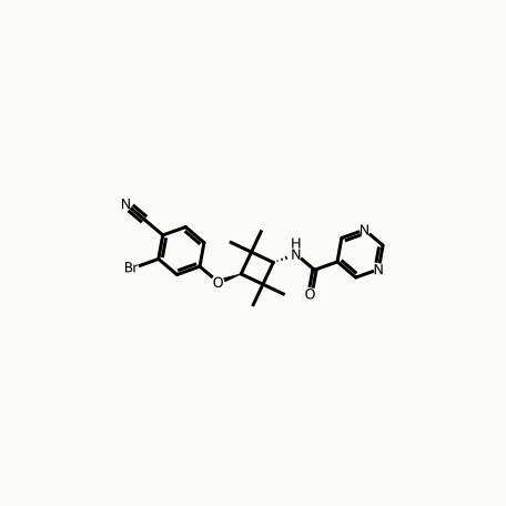 CC1(C)[C@H](NC(=O)c2cncnc2)C(C)(C)[C@H]1Oc1ccc(C#N)c(Br)c1